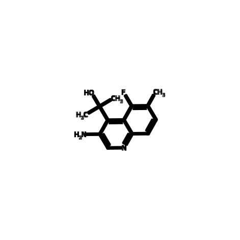 Cc1ccc2ncc(N)c(C(C)(C)O)c2c1F